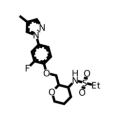 CCS(=O)(=O)NC1CCCOC1COc1ccc(-n2cc(C)cn2)cc1F